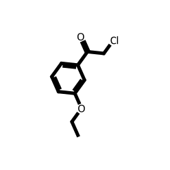 CCOc1cccc(C(=O)CCl)c1